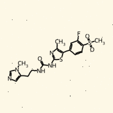 Cc1nc(NC(=O)NCCc2cncn2C)sc1-c1ccc(S(C)(=O)=O)c(F)c1